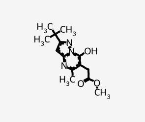 COC(=O)Cc1c(C)nc2cc(C(C)(C)C)nn2c1O